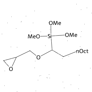 CCCCCCCCCC(OCC1CO1)[Si](OC)(OC)OC